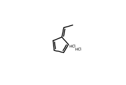 CC=C1C=CC=C1.Cl.Cl